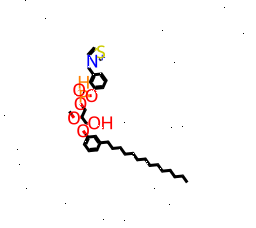 CCCCCCCCCCCCCCc1cccc(OC(O)C(CO[PH](=O)Oc2cccc(C[n+]3ccsc3)c2)OC)c1